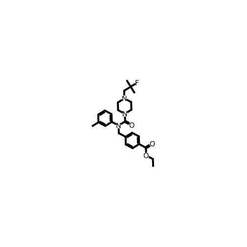 CCOC(=O)c1ccc(CN(C(=O)N2CCN(CC(C)(C)F)CC2)c2cccc(C)c2)cc1